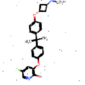 CC(C)(c1ccc(Oc2cc(F)cnc2Br)cc1)c1ccc(O[C@H]2C[C@H](NC(=O)O)C2)cc1